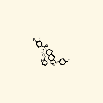 O=C(c1nccs1)[C@@]12Cc3cnn(-c4ccc(F)cc4)c3C=C1CC[C@@H](S(=O)(=O)c1ccc(F)c(F)c1)C2